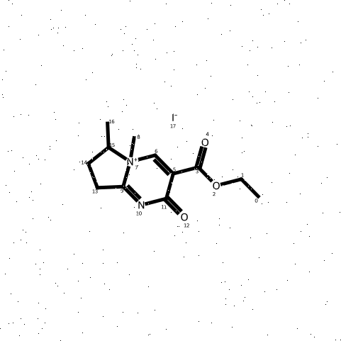 CCOC(=O)C1=C[N+]2(C)C(=NC1=O)CCC2C.[I-]